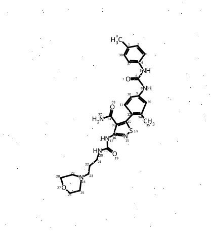 Cc1ccc(NC(=O)Nc2ccc(-c3snc(NC(=O)NCCCN4CCOCC4)c3C(N)=O)c(C)c2)cc1